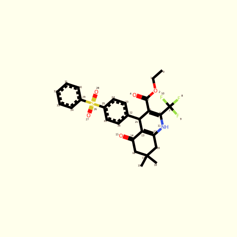 CCOC(=O)C1=C(C(F)(F)F)NC2=C(C(=O)CC(C)(C)C2)C1c1ccc(S(=O)(=O)c2ccccc2)cc1